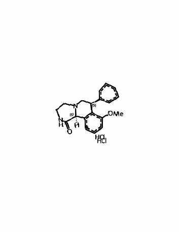 COc1cccc2c1[C@H](c1ccccc1)CN1CCNC(=O)[C@H]21.Cl.Cl